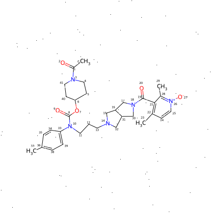 CC(=O)N1CCC(OC(=O)N(CCCN2CC3CN(C(=O)c4c(C)cc[n+]([O-])c4C)CC3C2)c2ccc(C)cc2)CC1